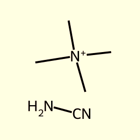 C[N+](C)(C)C.N#CN